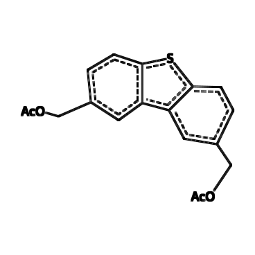 CC(=O)OCc1ccc2sc3ccc(COC(C)=O)cc3c2c1